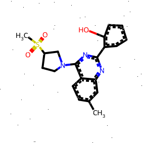 Cc1ccc2c(N3CCC(S(C)(=O)=O)C3)nc(-c3ccccc3O)nc2c1